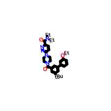 CCOc1cccc(-c2cc(C(=O)N3CCN(c4ccc(C(=O)N(CC)CC)nn4)CC3)cc(C(C)(C)C)c2)c1